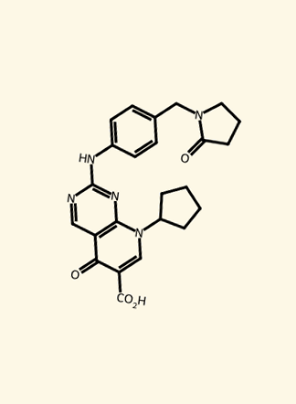 O=C(O)c1cn(C2CCCC2)c2nc(Nc3ccc(CN4CCCC4=O)cc3)ncc2c1=O